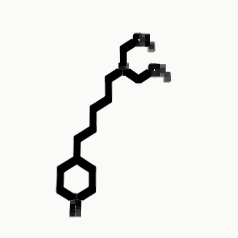 CCN(CC)CCCCCC1CCNCC1